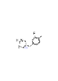 Cc1ccc(C/C(=C/F)CN)cc1F